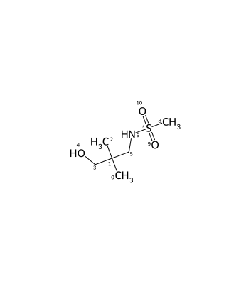 CC(C)(CO)CNS(C)(=O)=O